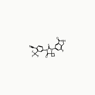 N#Cc1ccc(N2C(=O)C3(CCC3)N(c3cc(F)c4c(c3)C(=O)NC4)C2=S)cc1C(F)(F)F